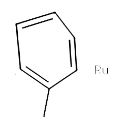 Cc1ccccc1.[Ru]